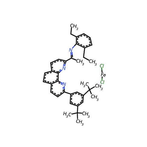 CCc1cccc(CC)c1N=C(C)c1ccc2ccc3ccc(-c4cc(C(C)(C)C)cc(C(C)(C)C)c4)nc3c2n1.[Cl][Fe][Cl]